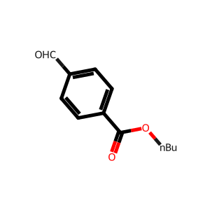 CCCCOC(=O)c1ccc(C=O)cc1